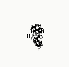 Cc1ccncc1-c1ccncc1NC(=O)c1c(N)nn2cc(F)cnc12